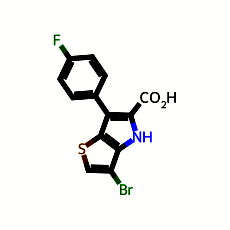 O=C(O)c1[nH]c2c(Br)csc2c1-c1ccc(F)cc1